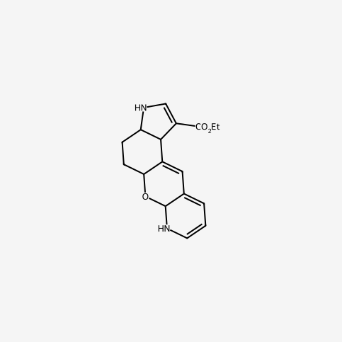 CCOC(=O)C1=CNC2CCC3OC4NC=CC=C4C=C3C12